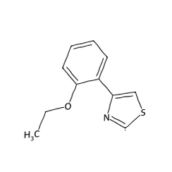 CCOc1ccccc1-c1cs[c]n1